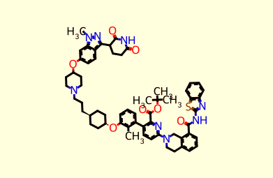 Cc1c(O[C@H]2CC[C@H](CCCN3CCC(Oc4ccc5c(C6CCC(=O)NC6=O)nn(C)c5c4)CC3)CC2)cccc1-c1ccc(N2CCc3cccc(C(=O)Nc4nc5ccccc5s4)c3C2)nc1C(=O)OC(C)(C)C